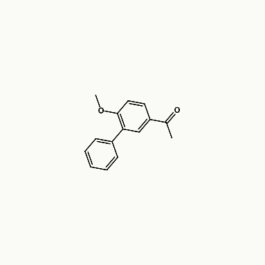 COc1ccc(C(C)=O)cc1-c1ccccc1